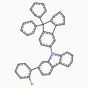 Brc1ccccc1-c1ccc2c3ccccc3n(-c3ccc4c(c3)-c3ccccc3C4(c3ccccc3)c3ccccc3)c2c1